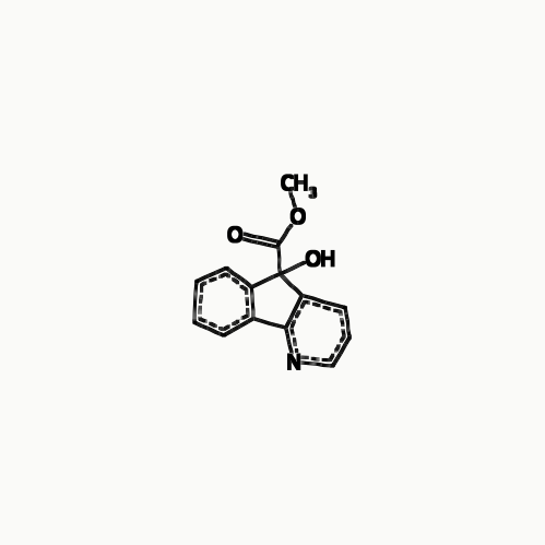 COC(=O)C1(O)c2ccccc2-c2ncccc21